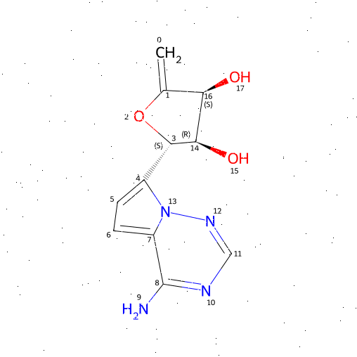 C=C1O[C@@H](c2ccc3c(N)ncnn23)[C@H](O)[C@@H]1O